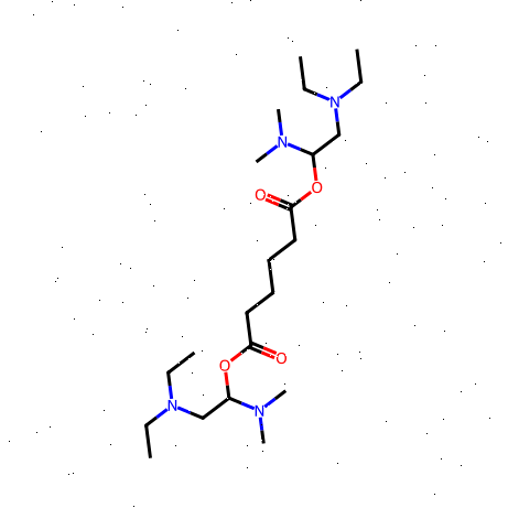 CCN(CC)CC(OC(=O)CCCCC(=O)OC(CN(CC)CC)N(C)C)N(C)C